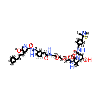 COc1cnc(C(=O)NCc2cccc(CC(=O)NCCOCCOCC(=O)NC(C(=O)N3C[C@H](O)C[C@H]3C(=O)NCc3ccc(-c4scnc4C)cc3)C(C)(C)C)c2)cc1/C=C/Cc1ccccc1